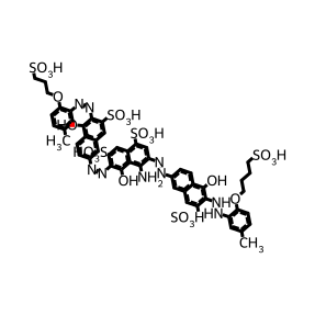 Cc1ccc(OCCCS(=O)(=O)O)c(/N=N\c2c(S(=O)(=O)O)cc3cc(/N=N\c4c(S(=O)(=O)O)cc5c(S(=O)(=O)O)cc(N=Nc6ccc7c(O)c(NNc8cc(C)ccc8OCCCCS(=O)(=O)O)c(S(=O)(=O)O)cc7c6)c(N)c5c4O)ccc3c2O)c1